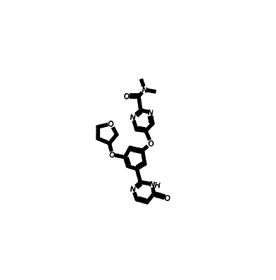 CN(C)C(=O)c1ncc(Oc2cc(OC3CCOC3)cc(-c3nccc(=O)[nH]3)c2)cn1